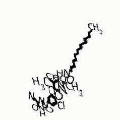 CCCCCCCCCCCCCCCCNC(=O)OC(C)n1nc(Oc2c(Cl)cc(-n3nc(C#N)c(=O)[nH]c3=O)cc2Cl)cc(C(C)C)c1=O